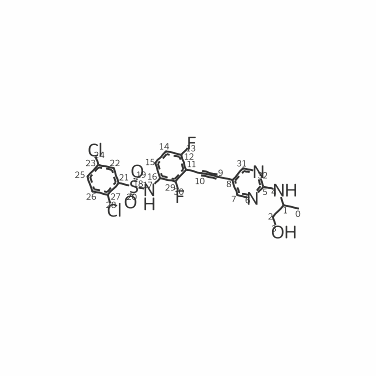 CC(CO)Nc1ncc(C#Cc2c(F)ccc(NS(=O)(=O)c3cc(Cl)ccc3Cl)c2F)cn1